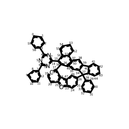 c1ccc(-c2nc(-c3ccccc3)nc(-c3c(-c4cccc5oc6ccc(C7(c8ccccc8)c8ccccc8-c8ccccc87)cc6c45)ccc4ccccc34)n2)cc1